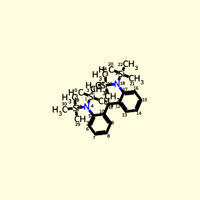 C[Si](C)(C)N(c1ccccc1Cc1ccccc1N([Si](C)(C)C)[Si](C)(C)C)[Si](C)(C)C